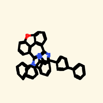 c1ccc(-c2ccc(-c3cc(-c4ccccc4)nc(-c4cccc5oc6cccc(-c7nc8ccccc8n7-c7ccccc7)c6c45)n3)cc2)cc1